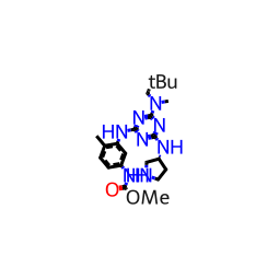 COC(=O)Nc1ccc(C)c(Nc2nc(N[C@@H]3CCNC3)nc(N(C)CC(C)(C)C)n2)c1